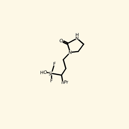 CCCC(CCN1CCNC1=O)[Si](O)(F)F